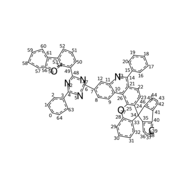 c1ccc(-c2nc(-c3ccc4c(c3)nc(-c3ccccc3)c3ccc5c(c34)Oc3ccccc3C53c4ccccc4-c4ccccc43)nc(-c3cccc4c3oc3ccccc34)n2)cc1